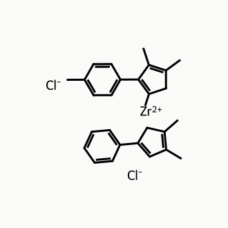 CC1=C(C)C(c2ccc(C)cc2)=[C]([Zr+2])C1.CC1=C(C)CC(c2ccccc2)=C1.[Cl-].[Cl-]